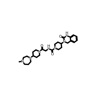 CN1CCCN(C2CCN(C(=O)CNC(=O)N3CCC(N4Cc5ccccc5NC4=O)CC3)CC2)CC1